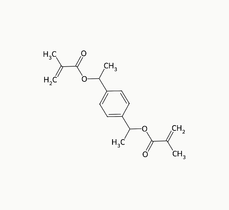 C=C(C)C(=O)OC(C)c1ccc(C(C)OC(=O)C(=C)C)cc1